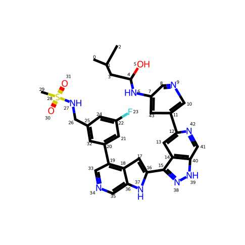 CC(C)CC(O)Nc1cncc(-c2cc3c(-c4cc5c(-c6cc(F)cc(CNS(C)(=O)=O)c6)cncc5[nH]4)n[nH]c3cn2)c1